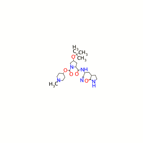 CN1CCC(OC(=O)N2CC(OC(C)(C)C)CC2C(=O)NC(C#N)CC2CCNC2=O)CC1